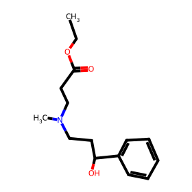 CCOC(=O)CCN(C)CCC(O)c1ccccc1